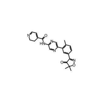 Cc1ccc(C2=NOC(C)(C)C2=O)cc1-c1cnc(NC(=O)C2=CC=NCC2)cn1